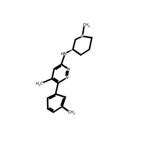 Cc1cccc(-c2nnc(N[C@@H]3CCCN(C)C3)cc2C)c1